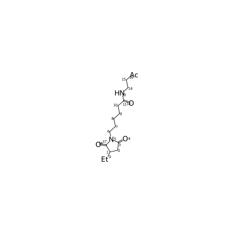 CCC1CC(=O)N(CCCCCC(=O)NCCC(C)=O)C1=O